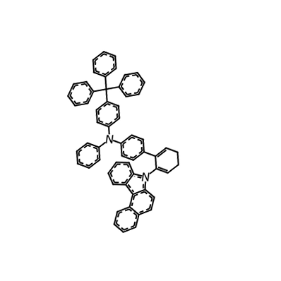 C1=C(c2ccc(N(c3ccccc3)c3ccc(C(c4ccccc4)(c4ccccc4)c4ccccc4)cc3)cc2)C(n2c3ccccc3c3c4ccccc4ccc32)=CCC1